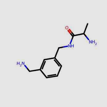 CC(N)C(=O)NCc1cccc(CN)c1